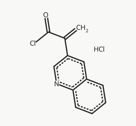 C=C(C(=O)Cl)c1cnc2ccccc2c1.Cl